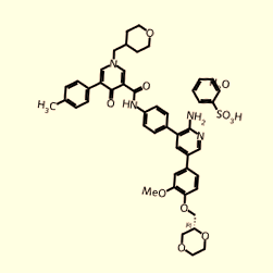 COc1cc(-c2cnc(N)c(-c3ccc(NC(=O)c4cn(CC5CCOCC5)cc(-c5ccc(C)cc5)c4=O)cc3)c2)ccc1OC[C@H]1COCCO1.O.O=S(=O)(O)c1ccccc1